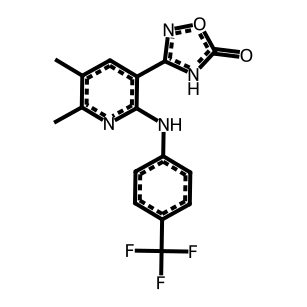 Cc1cc(-c2noc(=O)[nH]2)c(Nc2ccc(C(F)(F)F)cc2)nc1C